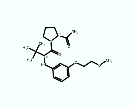 COCCOc1cccc(N[C@H](C(=O)N2CCC[C@H]2C(N)=O)C(C)(C)C)c1